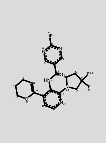 CC(C)c1ncc(C(=O)Nc2c(C3=CCCCO3)ccnc2N2CCC(F)(F)C2)cn1